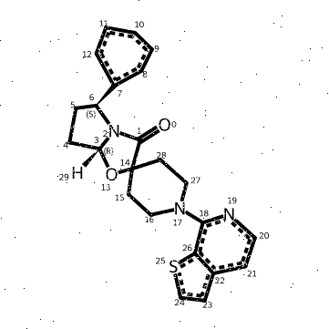 O=C1N2[C@@H](CC[C@H]2c2ccccc2)OC12CCN(c1nccc3ccsc13)CC2